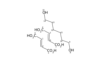 O=C(O)/C=C/C(=O)O.O=C(O)/C=C/C(=O)O.OCCCCCCO